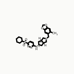 Cc1cc2c(cc1CN1C[C@H]3C[C@H](Nc4ccc(S(=O)(=O)C5CCCCC5)nn4)C[C@H]3C1)OCO2